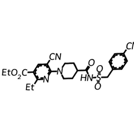 CCOC(=O)c1cc(C#N)c(N2CCC(C(=O)NS(=O)(=O)Cc3ccc(Cl)cc3)CC2)nc1CC